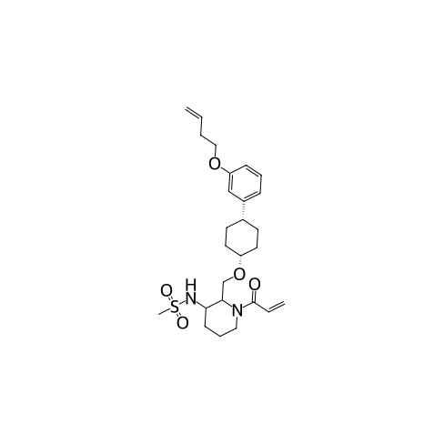 C=CCCOc1cccc([C@H]2CC[C@@H](OCC3C(NS(C)(=O)=O)CCCN3C(=O)C=C)CC2)c1